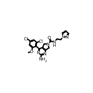 COc1cc(Cl)cc(Cl)c1-c1nc(N)nc2c1CN(C(=O)NCCn1cccn1)C2